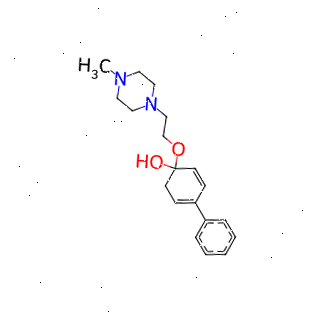 CN1CCN(CCOC2(O)C=CC(c3ccccc3)=CC2)CC1